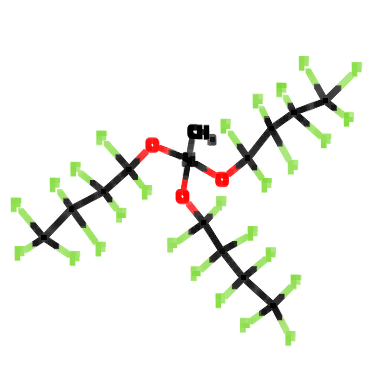 C[Si](OC(F)(F)C(F)(F)C(F)(F)C(F)(F)F)(OC(F)(F)C(F)(F)C(F)(F)C(F)(F)F)OC(F)(F)C(F)(F)C(F)(F)C(F)(F)F